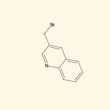 Br[CH]c1cnc2ccccc2c1